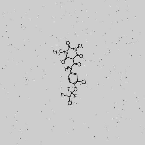 CCN1C(=O)C(C(=O)Nc2ccc(OC(F)(F)C(F)Cl)c(Cl)c2)C(=O)N(C)C1=O